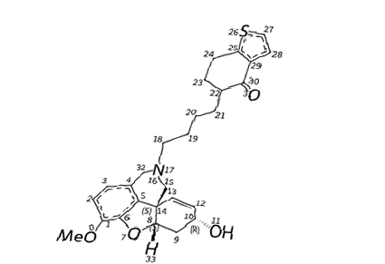 COc1ccc2c3c1O[C@H]1C[C@@H](O)C=C[C@@]31CCN(CCCCC1CCc3sccc3C1=O)C2